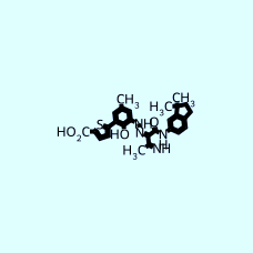 CC(=N)/C(=N/Nc1cc(C)cc(-c2ccc(C(=O)O)s2)c1O)C(=O)Nc1ccc2c(c1)C(C)(C)CC2